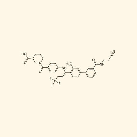 Cc1cc(-c2cccc(C(=O)NCCC#N)c2)ccc1C(CCC(F)(F)F)Nc1ccc(C(=O)N2CCC[C@@H](C(=O)O)C2)cc1